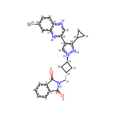 O=C1c2ccccc2C(=O)N1C[C@H]1C[C@H](n2cc(-c3cnc4ccc(Br)cc4n3)c(C3CC3)n2)C1